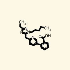 CCCCCn1nc(CC)nc1Cc1ccc(-c2ccccc2C(=O)O)cn1